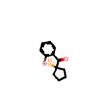 O=C(c1ccccc1Br)C1(P)CCCC1